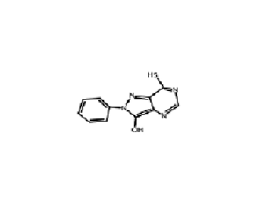 Oc1c2ncnc(S)c2nn1-c1ccccc1